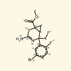 COC(=O)C12CC1C(CF)(c1cc(Br)ccc1F)N=C(N)S2